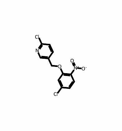 O=[N+]([O-])c1ccc(Cl)cc1OCc1ccc(Cl)nc1